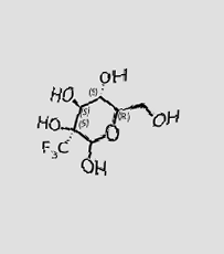 OC[C@H]1OC(O)[C@](O)(C(F)(F)F)[C@@H](O)[C@@H]1O